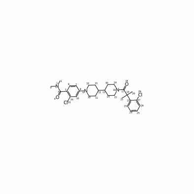 CN(C)C(=O)c1ccc(N2CCC(C3CCN(C(=O)C(C)(C)c4ccccc4Cl)CC3)CC2)cc1Cl